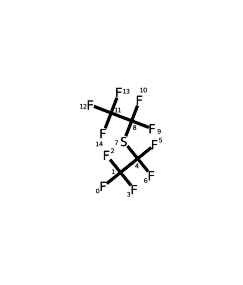 FC(F)(F)C(F)(F)SC(F)(F)C(F)(F)F